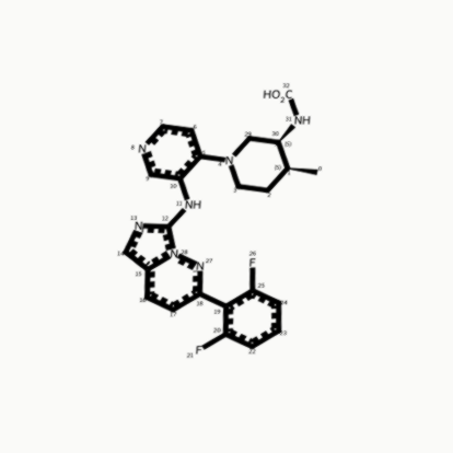 C[C@H]1CCN(c2ccncc2Nc2ncc3ccc(-c4c(F)cccc4F)nn23)C[C@H]1NC(=O)O